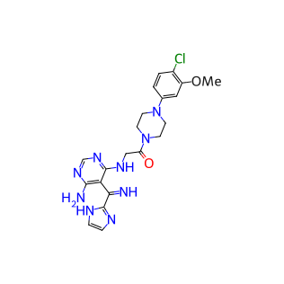 COc1cc(N2CCN(C(=O)CNc3ncnc(N)c3C(=N)c3ncc[nH]3)CC2)ccc1Cl